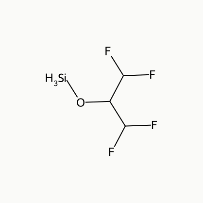 FC(F)C(O[SiH3])C(F)F